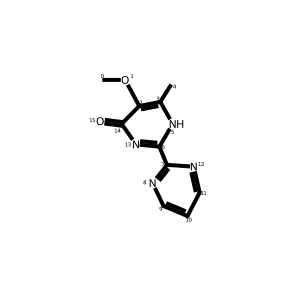 COc1c(C)[nH]c(-c2ncccn2)nc1=O